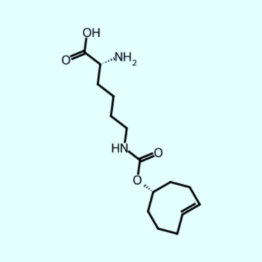 N[C@H](CCCCNC(=O)O[C@@H]1CC/C=C/CCC1)C(=O)O